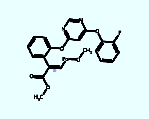 C[O][Po]/[CH]=C(/C(=O)OC)c1ccccc1Oc1cc(Oc2ccccc2F)ncn1